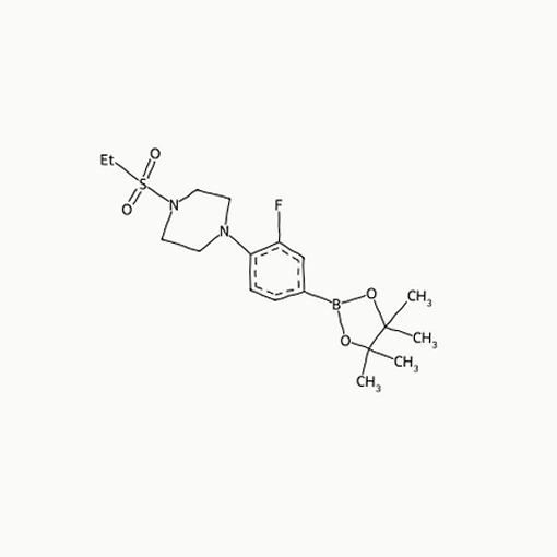 CCS(=O)(=O)N1CCN(c2ccc(B3OC(C)(C)C(C)(C)O3)cc2F)CC1